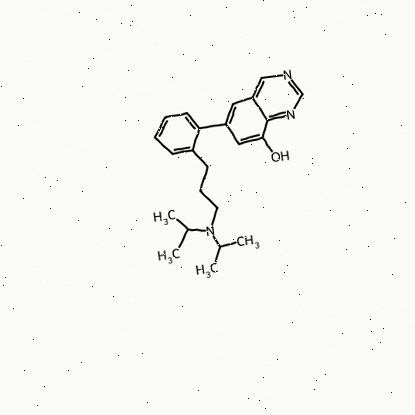 CC(C)N(CCCc1ccccc1-c1cc(O)c2ncncc2c1)C(C)C